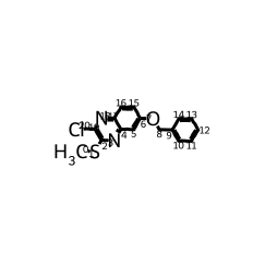 CSc1nc2cc(OCc3ccccc3)ccc2nc1Cl